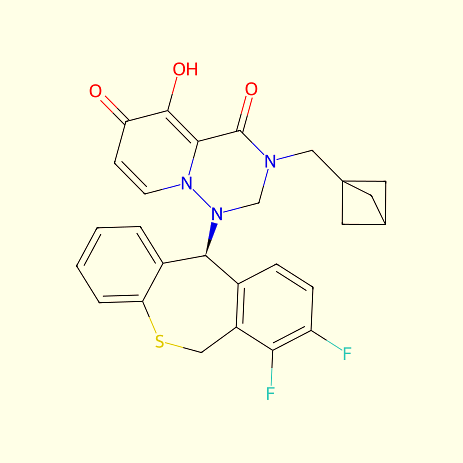 O=C1c2c(O)c(=O)ccn2N([C@@H]2c3ccccc3SCc3c2ccc(F)c3F)CN1CC12CC(C1)C2